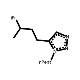 CCCCCn1nncc1CCC(C)C(C)C